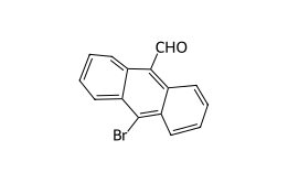 O=Cc1c2ccccc2c(Br)c2ccccc12